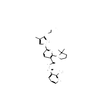 Cc1cn(-c2ccc(C(=O)NS(=O)(=O)c3cccnc3N)c(N3C[C@@H](C)CC3(C)C)n2)nc1OCC(C)(C)C